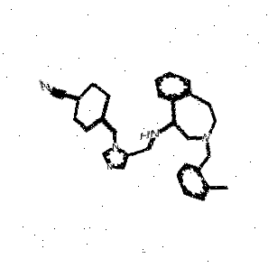 Cc1ccccc1CN1CCc2ccccc2C(NCc2cncn2CC2CCC(C#N)CC2)C1